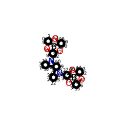 c1cc2c3c(c1)Oc1cc(-n4c5ccccc5c5c6c7ccccc7n(-c7cc8c9c(c7)Oc7cccc%10c7B9c7c(cccc7O8)O%10)c6ccc54)cc4c1B3c1c(cccc1O4)O2